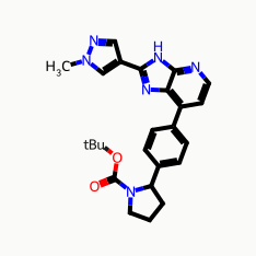 Cn1cc(-c2nc3c(-c4ccc(C5CCCN5C(=O)OC(C)(C)C)cc4)ccnc3[nH]2)cn1